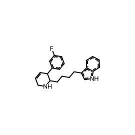 Fc1cccc(C2C=CCNC2CCCCc2c[nH]c3ccccc23)c1